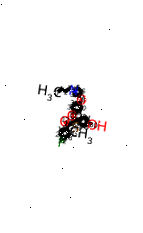 CCCCN1CC[C@@H](Oc2ccc(Oc3c(C(=O)c4ccc(F)cc4C)sc4cc(O)ccc34)cc2)C1